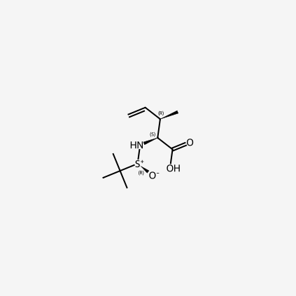 C=C[C@@H](C)[C@H](N[S@@+]([O-])C(C)(C)C)C(=O)O